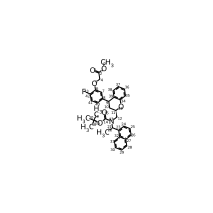 COC(=O)COc1cc(C2C[C@H](CN(C(=O)OC(C)(C)C)[C@H](C)c3cccc4ccccc34)Oc3ccccc32)ccc1F